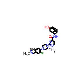 C[C@@H]1CN(c2ccc(CN(C)C)cc2F)CCN1c1nccc(C(=O)NC2C3CC4CC2CC(O)(C4)C3)n1